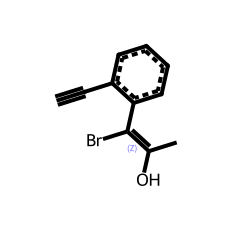 C#Cc1ccccc1/C(Br)=C(\C)O